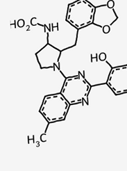 Cc1ccc2c(N3CCC(NC(=O)O)C3Cc3cccc4c3OCO4)nc(-c3ccccc3O)nc2c1